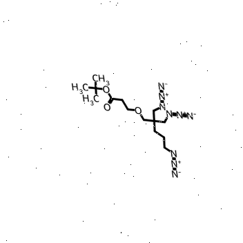 CC(C)(C)OC(=O)CCOCC(CCCN=[N+]=[N-])(CN=[N+]=[N-])CN=[N+]=[N-]